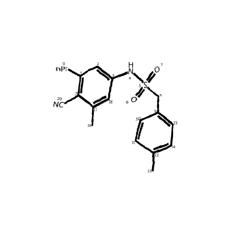 CCCc1cc(NS(=O)(=O)Cc2ccc(C)cc2)cc(C)c1C#N